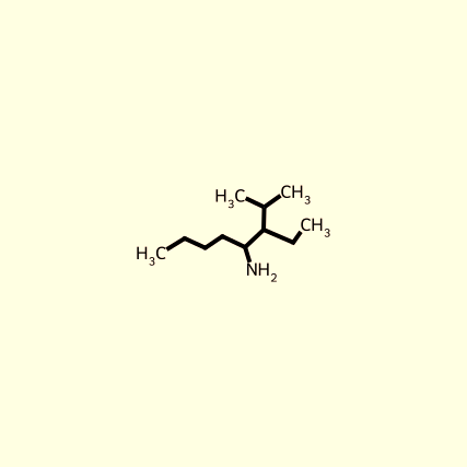 CCCCC(N)C(CC)C(C)C